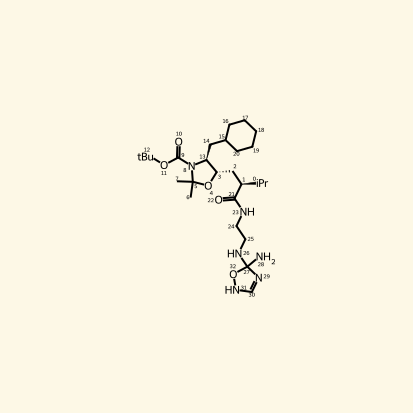 CC(C)[C@H](C[C@@H]1OC(C)(C)N(C(=O)OC(C)(C)C)[C@H]1CC1CCCCC1)C(=O)NCCNC1(N)N=CNO1